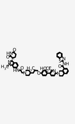 C[C@@H](COc1ccc(-c2ccc(N3CCc4cccc(C(=O)Nc5nc6ccccc6s5)c4C3)nc2C(=O)O)c(C(F)(F)F)c1)CC1CCN(CC(=O)Nc2ccc3c([C@H]4CCC(=O)NC4=O)nn(C)c3c2)CC1